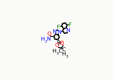 CC1(C)COB(c2cc(C(N)=O)c3ncn(-c4ccnc5c(F)ccc(F)c45)c3c2)OC1